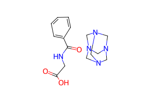 C1N2CN3CN1CN(C2)C3.O=C(O)CNC(=O)c1ccccc1